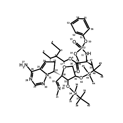 CCC(CC)COC(=O)[C@H](C)NP(=O)(OC[C@H]1O[C@@](C=NC)(C2CC=C3C(N)=NC=NN32)C(O[Si](C)(C)C(C)(C)C)C1O[Si](C)(C)C(C)(C)C)Oc1ccccc1